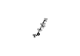 COC(=O)[C@H](CSCC(=O)C(=O)OCc1cccc(CO[N+](=O)[O-])c1)C(=O)NCCCC(=O)O